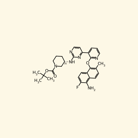 Cc1ccc2c(N)c(F)ccc2c1Oc1ncccc1-c1ccnc(N[C@H]2CCCN(C(=O)OC(C)(C)C)C2)n1